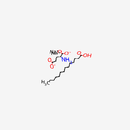 CCCCCCCCCCCCCC(=O)O.NC(CCC(=O)[O-])C(=O)[O-].[Na+].[Na+]